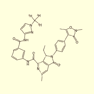 [2H]C([2H])([2H])n1ccc(NC(=O)c2cccc(NC(=O)c3nc(C)cc4c3C(CC)N(c3ccc(-c5c(C)on(C)c5=O)cc3)C4=O)c2)n1